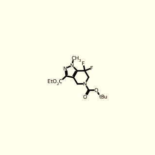 CCOC(=O)c1nn(C)c2c1CN(C(=O)OC(C)(C)C)CC2(F)F